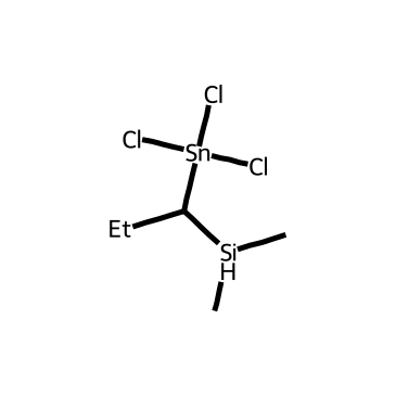 CC[CH]([SiH](C)C)[Sn]([Cl])([Cl])[Cl]